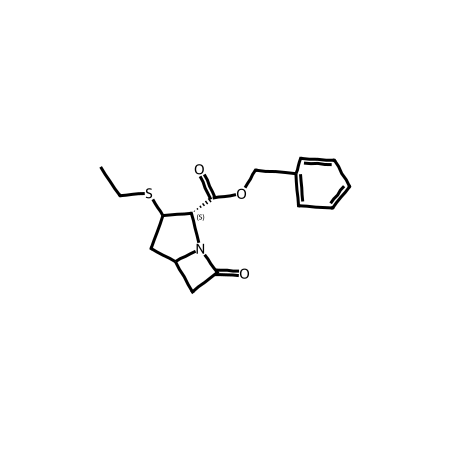 CCSC1CC2CC(=O)N2[C@H]1C(=O)OCc1ccccc1